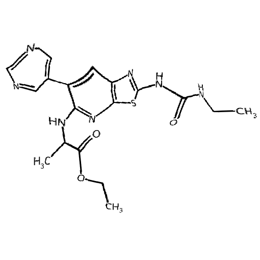 CCNC(=O)Nc1nc2cc(-c3cncnc3)c(NC(C)C(=O)OCC)nc2s1